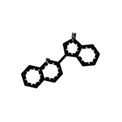 c1ccc2nc(-c3c[nH]c4ccccc34)ccc2c1